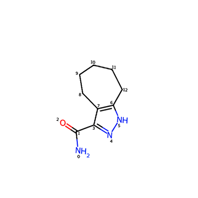 NC(=O)c1n[nH]c2c1CCCCC2